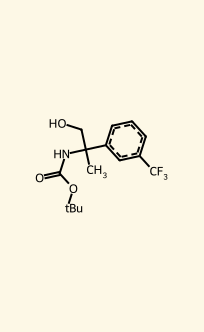 CC(C)(C)OC(=O)NC(C)(CO)c1cccc(C(F)(F)F)c1